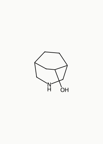 OC1CC2CCC1CNC2